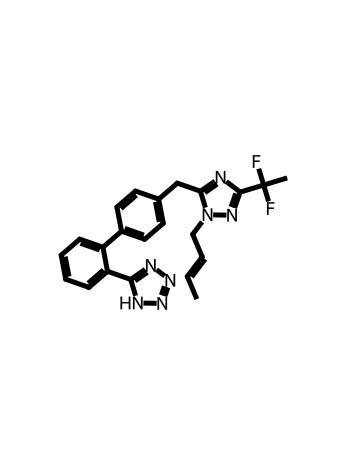 CC=CCn1nc(C(C)(F)F)nc1Cc1ccc(-c2ccccc2-c2nnn[nH]2)cc1